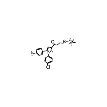 CSc1ccc(-c2cc(C(=O)CCCO[Si](C)(C)C(C)(C)C)nn2-c2ccc(Cl)cc2)cc1